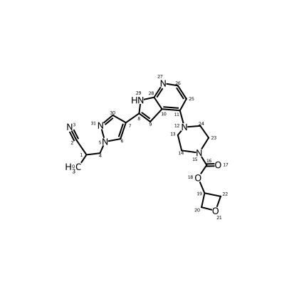 CC(C#N)Cn1cc(-c2cc3c(N4CCN(C(=O)OC5COC5)CC4)ccnc3[nH]2)cn1